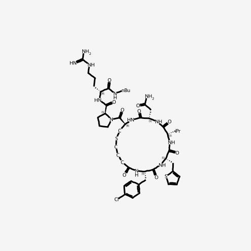 CCCCNC(=O)[C@@H](CCCNC(=N)N)NC(=O)[C@@H]1CCCN1C(=O)[C@@H]1CSCCCC(=O)N[C@@H](Cc2ccc(Cl)cc2)C(=O)N[C@@H](Cc2cccs2)C(=O)N[C@@H](C(C)C)C(=O)N[C@@H](CC(N)=O)C(=O)N1